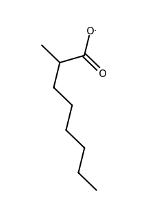 CCCCCCC(C)C([O])=O